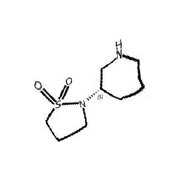 O=S1(=O)CCCN1[C@H]1CCCNC1